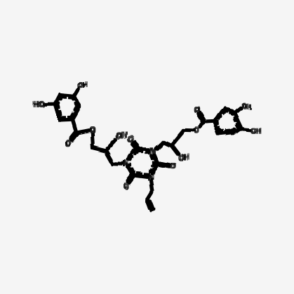 C=CCn1c(=O)n(CC(O)COC(=O)c2cc(O)cc(O)c2)c(=O)n(CC(O)COC(=O)c2ccc(O)c(O)c2)c1=O